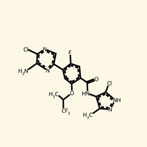 Cc1n[nH]c(Cl)c1NC(=O)c1cc(F)c(-c2cnc(Cl)c(N)n2)cc1OC(C)C(F)(F)F